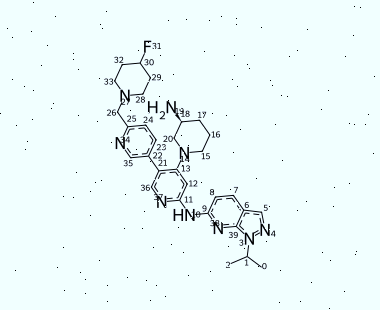 CC(C)n1ncc2ccc(Nc3cc(N4CCC[C@H](N)C4)c(-c4ccc(CN5CCC(F)CC5)nc4)cn3)nc21